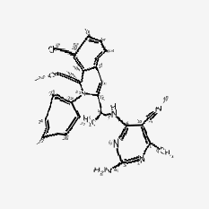 Cc1nc(N)nc(NC(C)c2cc3cccc(Cl)c3c(=O)n2-c2ccccc2)c1C#N